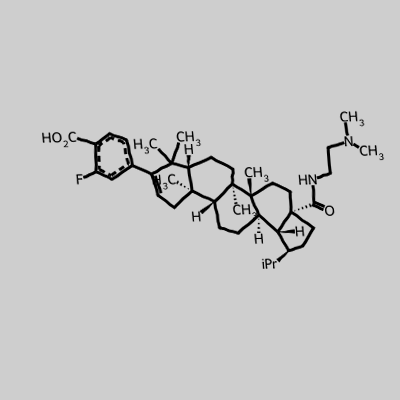 CC(C)[C@@H]1CC[C@]2(C(=O)NCCN(C)C)CC[C@]3(C)[C@H](CC[C@@H]4[C@@]5(C)CC=C(c6ccc(C(=O)O)c(F)c6)C(C)(C)[C@@H]5CC[C@]43C)[C@@H]12